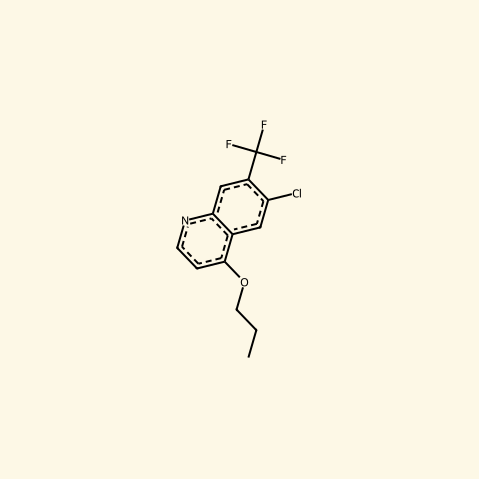 CCCOc1ccnc2cc(C(F)(F)F)c(Cl)cc12